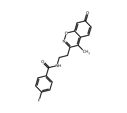 Cc1c2ccc(=O)cc-2onc1CCNC(=O)c1ccc(F)cc1